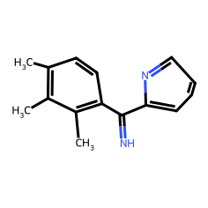 Cc1ccc(C(=N)c2ccccn2)c(C)c1C